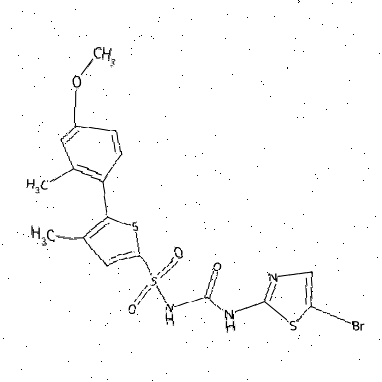 COc1ccc(-c2sc(S(=O)(=O)NC(=O)Nc3ncc(Br)s3)cc2C)c(C)c1